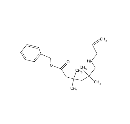 C=CCNCC(C)(C)CC(C)(C)CC(=O)OCc1ccccc1